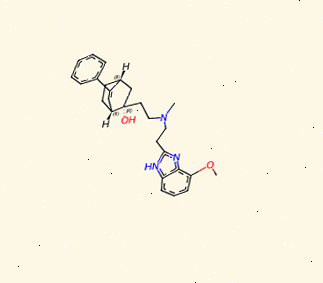 COc1cccc2[nH]c(CCN(C)CC[C@]3(O)C[C@H]4CC[C@@H]3C=C4c3ccccc3)nc12